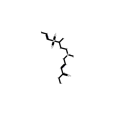 C/C=C/S(=O)(=O)C(C)CCN(C)C/C=C/C(=O)CC